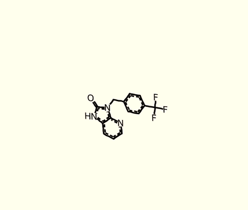 O=c1[nH]c2cccnc2n1Cc1ccc(C(F)(F)F)cc1